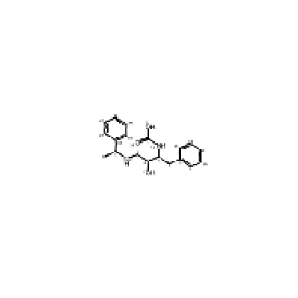 C[C@H](NC[C@H](O)[C@H](Cc1ccccc1)NC(=O)O)c1ccccc1